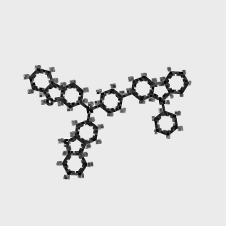 c1ccc(-n2c3ccccc3c3ccc(-c4ccc(N(c5ccc6c(c5)oc5ccccc56)c5ccc6c(c5)sc5ccccc56)cc4)cc32)cc1